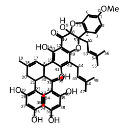 COc1ccc2c(c1)OC1(O)C(=O)c3c(O)c(C4C=C(C)CC(c5ccc(O)cc5O)C4C(=O)c4ccc(O)cc4O)c(O)c(CC=C(C)C)c3OC21CC=C(C)C